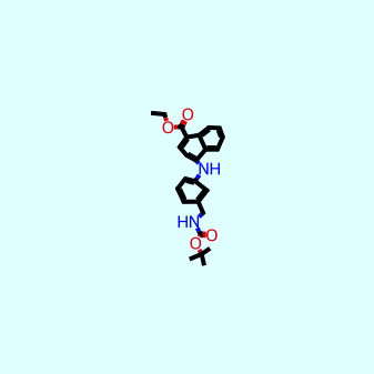 CCOC(=O)c1ccc(Nc2cccc(CNC(=O)OC(C)(C)C)c2)c2ccccc12